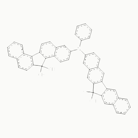 CC1(C)c2cc3ccccc3cc2-c2cc3ccc(N(c4ccccc4)c4ccc5c6c(ccc5c4)-c4c(ccc5ccccc45)C6(C)C)cc3cc21